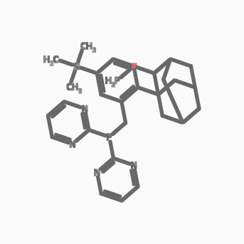 C[Si](C)(C)c1ccc(C23CC4CC(CC(C4)C2CP)C3)c(CP(c2ncccn2)c2ncccn2)c1